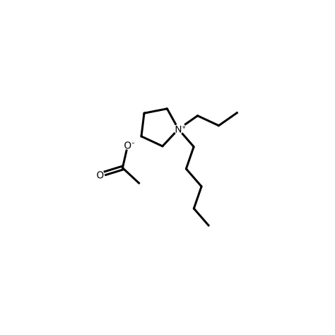 CC(=O)[O-].CCCCC[N+]1(CCC)CCCC1